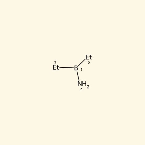 CCB(N)CC